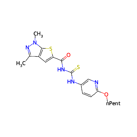 CCCCCOc1ccc(NC(=S)NC(=O)c2cc3c(C)nn(C)c3s2)cn1